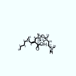 CCCCN(C)C=C(C[Si](C)(C)O[Si](C)(C)CC[SiH](C)C)C(=O)O